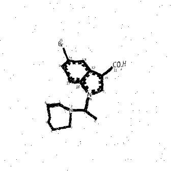 CC(N1CCCCC1)n1cc(C(=O)O)c2cc(Br)ccc21